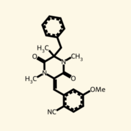 COc1ccc(C#N)c(C=C2C(=O)N(C)C(C)(Cc3ccccc3)C(=O)N2C)c1